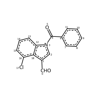 O=Cc1cn(C(=O)c2ccccc2)c2cccc(Cl)c12